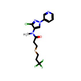 CN(C(=O)CCSCCC(F)(F)F)c1cn(-c2cccnc2)nc1Cl